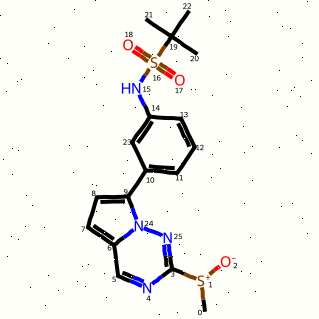 C[S+]([O-])c1ncc2ccc(-c3cccc(NS(=O)(=O)C(C)(C)C)c3)n2n1